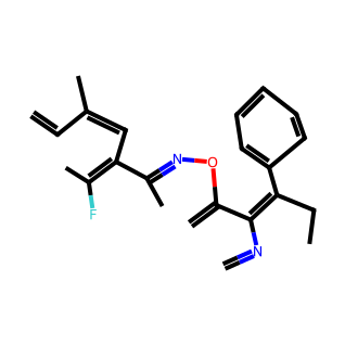 C=C\C(C)=C/C(=C(\C)F)C(/C)=N/OC(=C)/C(N=C)=C(/CC)c1ccccc1